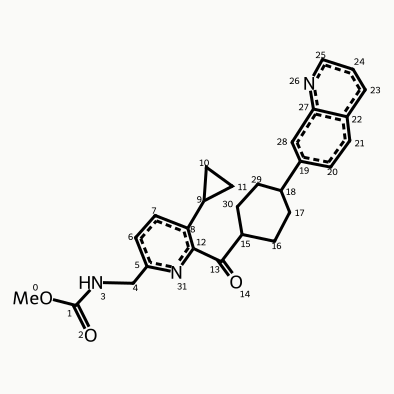 COC(=O)NCc1ccc(C2CC2)c(C(=O)C2CCC(c3ccc4cccnc4c3)CC2)n1